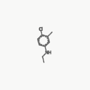 CCNc1ccc(Cl)c(C)c1